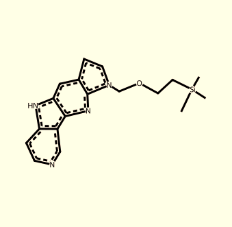 C[Si](C)(C)CCOCn1ccc2cc3[nH]c4ccncc4c3nc21